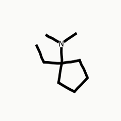 CCC1(N(C)C)CCCC1